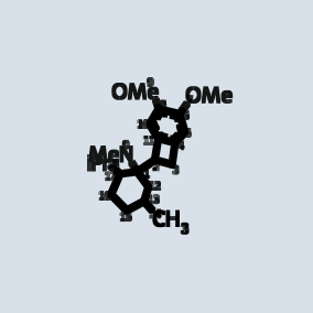 CNC1(C2Cc3cc(OC)c(OC)cc32)CC(C)CCC1C(C)C